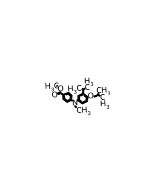 CCN(c1ccc(C(=O)OC)cc1)c1ccc(OCC(C)C)c(C(C)C)c1